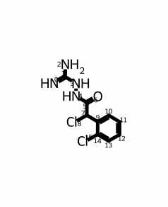 N=C(N)NNC(=O)C(Cl)c1ccccc1Cl